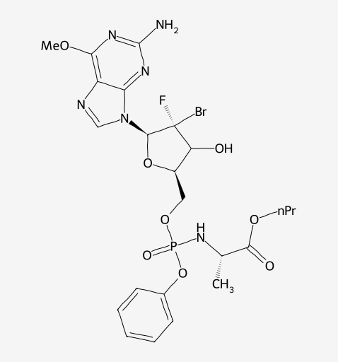 CCCOC(=O)[C@H](C)NP(=O)(OC[C@H]1O[C@@H](n2cnc3c(OC)nc(N)nc32)[C@@](F)(Br)C1O)Oc1ccccc1